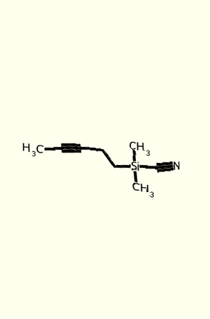 CC#CCC[Si](C)(C)C#N